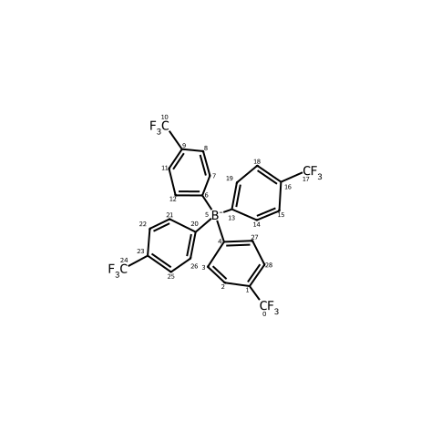 FC(F)(F)c1ccc([B-](c2ccc(C(F)(F)F)cc2)(c2ccc(C(F)(F)F)cc2)c2ccc(C(F)(F)F)cc2)cc1